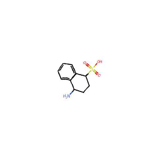 NC1CCC(S(=O)(=O)O)c2ccccc21